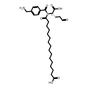 NCc1ccc(C(=O)N(C(=O)CCCCCCCCCCCCCCC(=O)O)[C@@H](CC[C]=O)C(=O)O)cc1